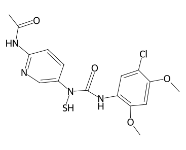 COc1cc(OC)c(NC(=O)N(S)c2ccc(NC(C)=O)nc2)cc1Cl